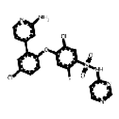 Nc1cc(-c2cc(Cl)ccc2Oc2cc(F)c(S(=O)(=O)Nc3ccncn3)cc2Cl)ccn1